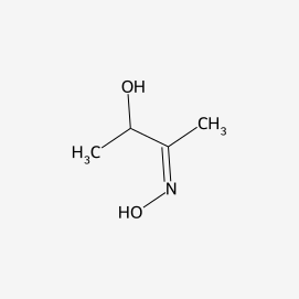 CC(=NO)C(C)O